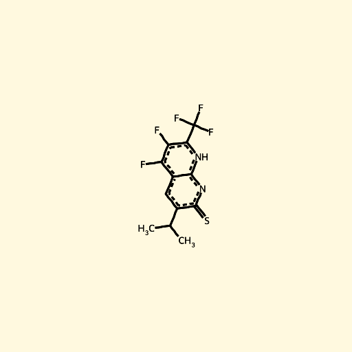 CC(C)c1cc2c(F)c(F)c(C(F)(F)F)[nH]c-2nc1=S